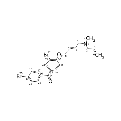 C=CCN(C)CC=CCOc1ccc(C(=O)c2ccc(Br)cc2)cc1Br